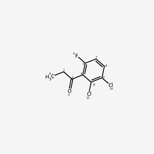 CCC(=O)c1c(F)ccc(Cl)c1Cl